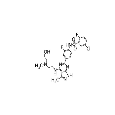 Cc1n[nH]c2nc(-c3ccc(NS(=O)(=O)c4cc(Cl)ccc4F)c(F)c3)nc(NCCN(C)CCO)c12